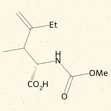 C=C(CC)C(C)[C@H](NC(=O)OC)C(=O)O